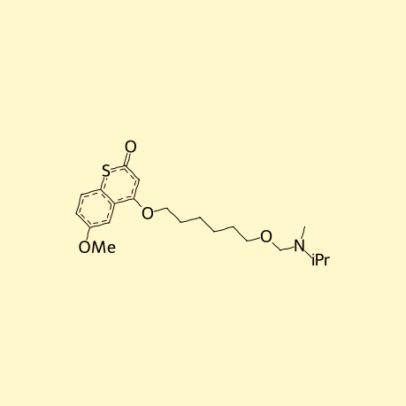 COc1ccc2sc(=O)cc(OCCCCCCOCN(C)C(C)C)c2c1